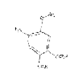 CCOc1cc(C(=O)O)c(C(=O)O)cc1N